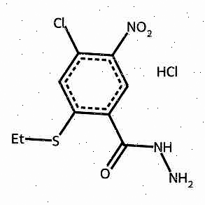 CCSc1cc(Cl)c([N+](=O)[O-])cc1C(=O)NN.Cl